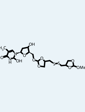 COC1OCC(CSSCC2COC(OC[C@H]3O[C@@H](N4C=C(C)C(=O)NC4O)CC3O)O2)O1